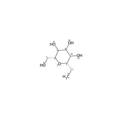 CC[C@@H]1O[C@H](CO)C(O)C(O)C1O